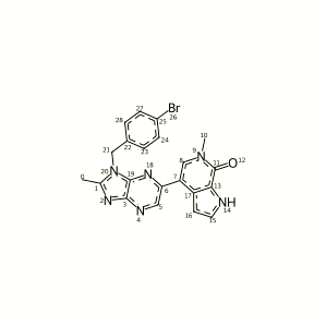 Cc1nc2ncc(-c3cn(C)c(=O)c4[nH]ccc34)nc2n1Cc1ccc(Br)cc1